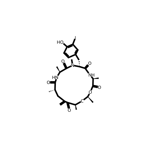 C=C1C[C@H](C)C(=O)N[C@@H](C)C(=O)N(C)[C@H](Cc2ccc(O)c(I)c2)C(=O)N[C@@H](C)C(=O)O[C@@H](C)C[C@@H](C)C1=O